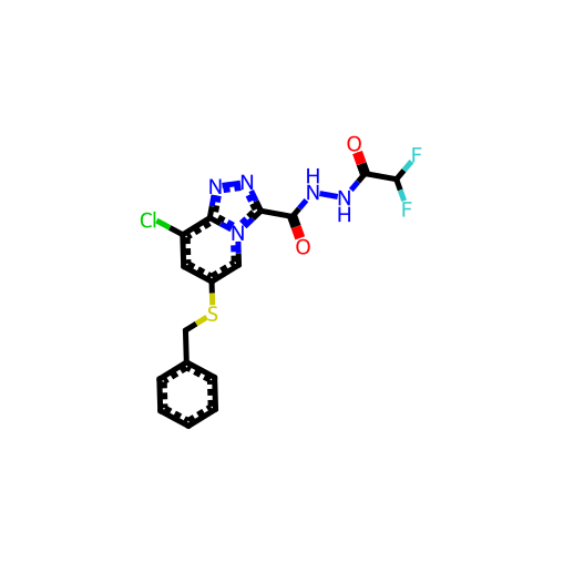 O=C(NNC(=O)C(F)F)c1nnc2c(Cl)cc(SCc3ccccc3)cn12